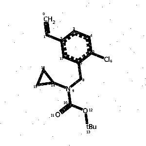 C=Cc1ccc(Cl)c(CN(C(=O)OC(C)(C)C)C2CC2)c1